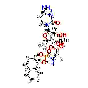 CCCCOC(=O)[C@H](C)NP(=O)(Oc1cccc2ccccc12)O[C@H](C)[C@H]1O[C@@H](n2ccc(N)nc2=O)[C@](C)(O)[C@@H]1O